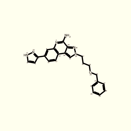 Nc1nc2cc(-c3cc[nH]n3)ccc2c2cn(CCCOCc3ccccc3)nc12